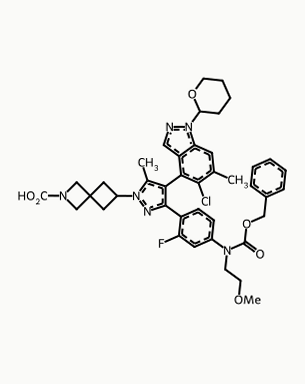 COCCN(C(=O)OCc1ccccc1)c1ccc(-c2nn(C3CC4(C3)CN(C(=O)O)C4)c(C)c2-c2c(Cl)c(C)cc3c2cnn3C2CCCCO2)c(F)c1